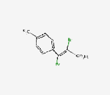 CCOC(=O)/C(Br)=C(\Br)c1ccc(C(F)(F)F)cc1